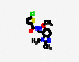 COc1ccc2nc(C)n(C)c2c1CNC(=O)c1ccc(Cl)s1